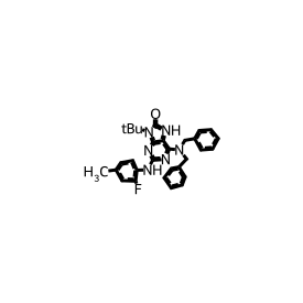 Cc1ccc(Nc2nc(N(Cc3ccccc3)Cc3ccccc3)c3[nH]c(=O)n(C(C)(C)C)c3n2)c(F)c1